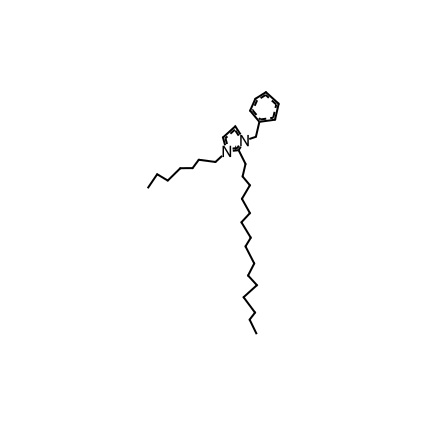 CCCCCCCCCCCCCCCc1n(Cc2ccccc2)cc[n+]1CCCCCCC